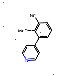 COc1c(C#N)cccc1-c1ccncc1